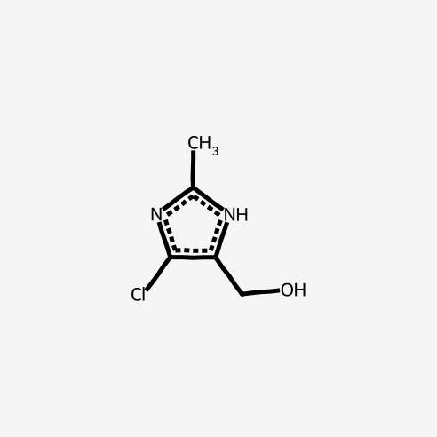 Cc1nc(Cl)c(CO)[nH]1